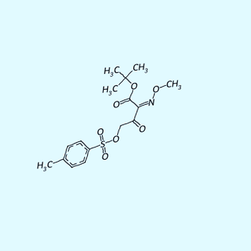 CO/N=C(/C(=O)COS(=O)(=O)c1ccc(C)cc1)C(=O)OC(C)(C)C